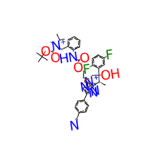 CC(C)[N+](C)(Cc1ccccc1NC(=O)OCC[N+]1(C[C@](O)(c2cc(F)ccc2F)[C@@H](C)c2nc(-c3ccc(C#N)cc3)cs2)C=NC=N1)C(=O)OC(C)(C)C